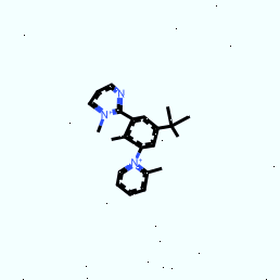 Cc1c(-c2nccc[n+]2C)cc(C(C)(C)C)cc1-[n+]1ccccc1C